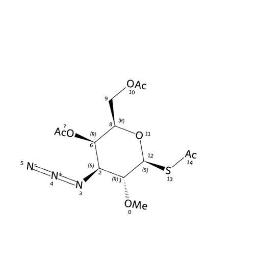 CO[C@@H]1[C@@H](N=[N+]=[N-])[C@@H](OC(C)=O)[C@@H](COC(C)=O)O[C@H]1SC(C)=O